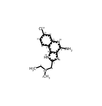 CCN(C)Cc1nc2c(N)nc3cc(Cl)ccc3c2[nH]1